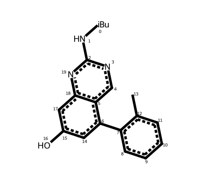 CCC(C)Nc1ncc2c(-c3ccccc3C)cc(O)cc2n1